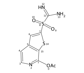 CC(=O)Oc1nccc2cc(S(=O)(=O)C(=N)N)sc12